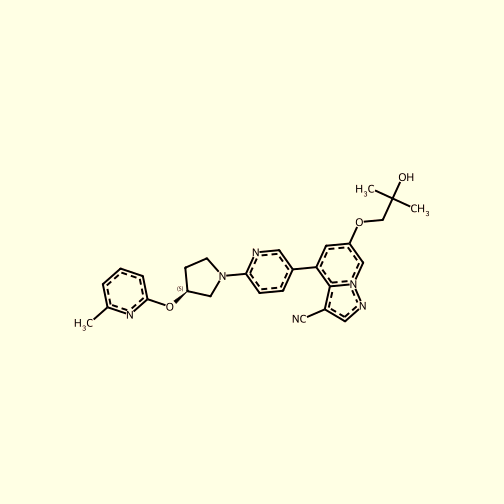 Cc1cccc(O[C@H]2CCN(c3ccc(-c4cc(OCC(C)(C)O)cn5ncc(C#N)c45)cn3)C2)n1